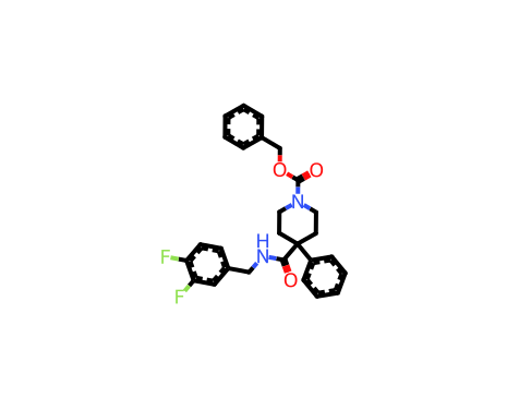 O=C(OCc1ccccc1)N1CCC(C(=O)NCc2ccc(F)c(F)c2)(c2ccccc2)CC1